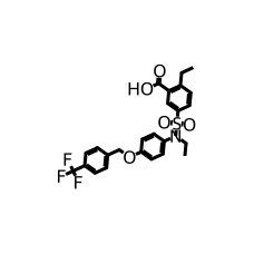 CCc1ccc(S(=O)(=O)N(CC)c2ccc(OCc3ccc(C(F)(F)F)cc3)cc2)cc1C(=O)O